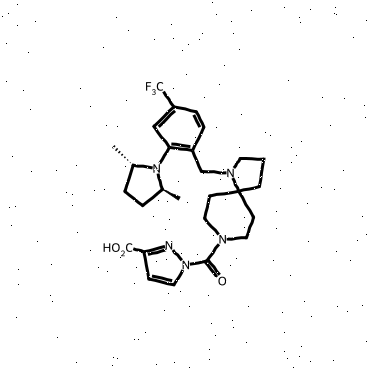 C[C@H]1CC[C@H](C)N1c1cc(C(F)(F)F)ccc1CN1CCCC12CCN(C(=O)n1ccc(C(=O)O)n1)CC2